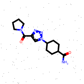 NC(=O)C1CCC(n2cc(C(=O)N3CCCC3)nn2)CC1